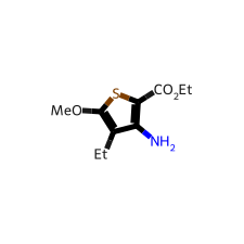 CCOC(=O)c1sc(OC)c(CC)c1N